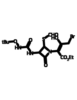 CCOC(=O)C(=C(O)CBr)N1C(=O)C(NC(=O)NOC(C)(C)C)C1SC=O